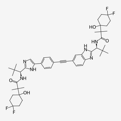 CC(C)(C)[C@H](NC(=O)C(C)(C)C1(O)CCC(F)(F)CC1)c1ncc(-c2ccc(C#Cc3ccc4nc([C@@H](NC(=O)C(C)(C)C5(O)CCC(F)(F)CC5)C(C)(C)C)[nH]c4c3)cc2)[nH]1